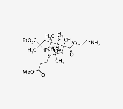 CCOC(=O)C(C)(CC(C)(C)C(C)(C)C(C)(CC(C)(C)SCCC(=O)OC)C(=O)OCCN)C(C)C